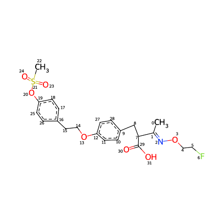 C/C(=N\OCCF)C(Cc1ccc(OCCc2ccc(OS(C)(=O)=O)cc2)cc1)C(=O)O